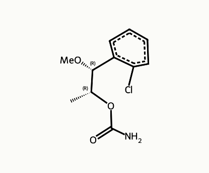 CO[C@H](c1ccccc1Cl)[C@@H](C)OC(N)=O